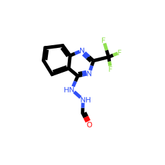 O=CNNc1nc(C(F)(F)F)nc2ccccc12